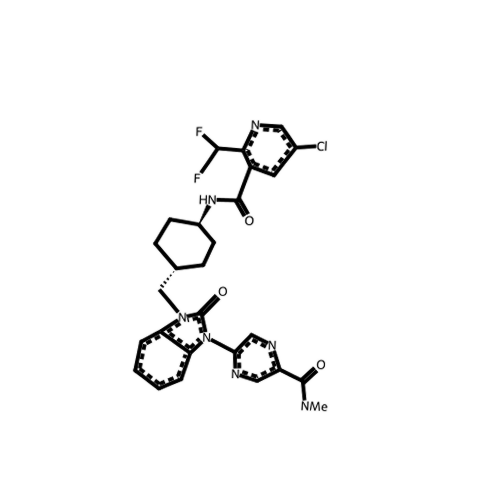 CNC(=O)c1cnc(-n2c(=O)n(C[C@H]3CC[C@H](NC(=O)c4cc(Cl)cnc4C(F)F)CC3)c3ccccc32)cn1